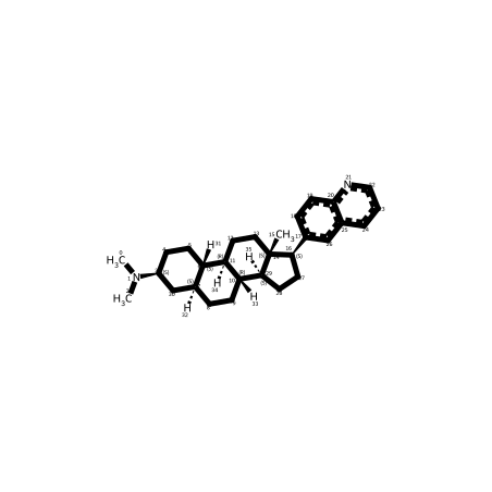 CN(C)[C@H]1CC[C@H]2[C@@H](CC[C@@H]3[C@@H]2CC[C@]2(C)[C@@H](c4ccc5ncccc5c4)CC[C@@H]32)C1